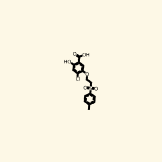 Cc1ccc(S(=O)(=O)CCOc2cc(C(=O)O)c(O)cc2Cl)cc1